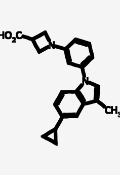 Cc1cn(-c2cccc(N3CC(C(=O)O)C3)c2)c2ccc(C3CC3)cc12